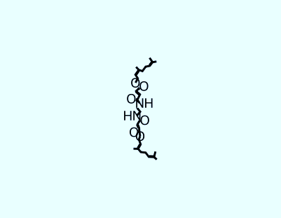 CC(C)=CCCC(C)=CCOC(=O)C=CC(=O)NCCNC(=O)C=CC(=O)OCC=C(C)CCC=C(C)C